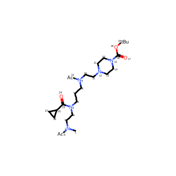 CC(=O)N(C)CCN(CCCN(CCN1CCN(C(=O)OC(C)(C)C)CC1)C(C)=O)C(=O)C1CC1